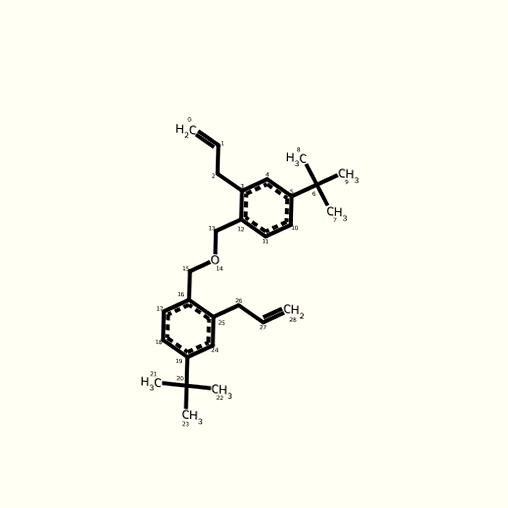 C=CCc1cc(C(C)(C)C)ccc1COCc1ccc(C(C)(C)C)cc1CC=C